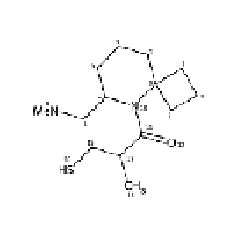 CNCC1CCCC2(CCC2)N1C(=O)C(C)CS